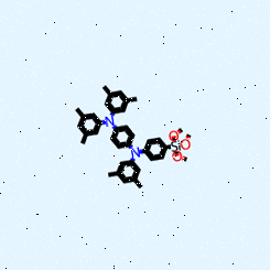 CO[Si](OC)(OC)c1ccc(N(c2ccc(N(c3cc(C)cc(C)c3)c3cc(C)cc(C)c3)cc2)c2cc(C)cc(C)c2)cc1